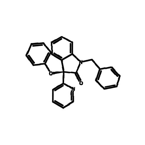 O=C1N(Cc2ccccc2)c2ccccc2[C@@]1(Oc1ccccc1)c1ccccn1